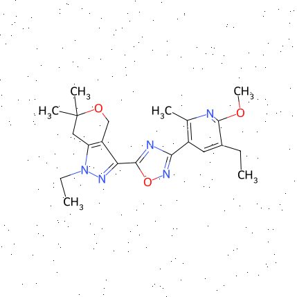 CCc1cc(-c2noc(-c3nn(CC)c4c3COC(C)(C)C4)n2)c(C)nc1OC